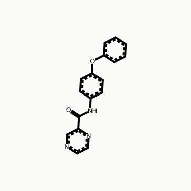 O=C(Nc1ccc(Oc2ccccc2)cc1)c1cnccn1